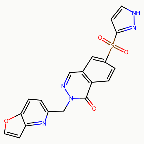 O=c1c2ccc(S(=O)(=O)c3cc[nH]n3)cc2cnn1Cc1ccc2occc2n1